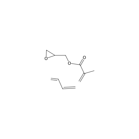 C=C(C)C(=O)OCC1CO1.C=CC=C